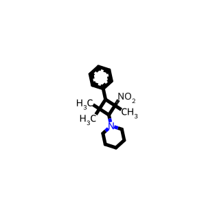 CC1(C)C(c2ccccc2)C(C)([N+](=O)[O-])C1N1CCCCC1